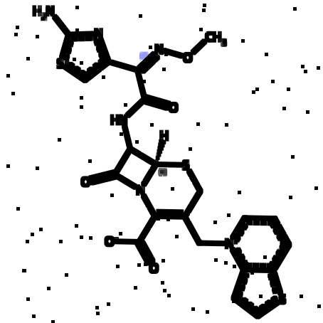 CO/N=C(\C(=O)NC1C(=O)N2C(C(=O)[O-])=C(C[n+]3cccc4sccc43)CS[C@H]12)c1csc(N)n1